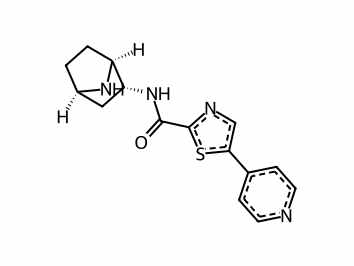 O=C(N[C@@H]1C[C@H]2CC[C@@H]1N2)c1ncc(-c2ccncc2)s1